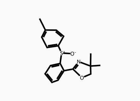 Cc1ccc([S+]([O-])c2ccccc2C2=NC(C)(C)CO2)cc1